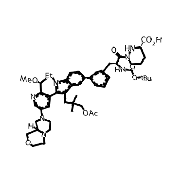 CCn1c(-c2cc(N3CCN4CCOC[C@@H]4C3)cnc2[C@H](C)OC)c(CC(C)(C)COC(C)=O)c2cc(-c3cccc(C[C@H](NC(=O)OC(C)(C)C)C(=O)N4CCC[C@@H](C(=O)O)N4)c3)ccc21